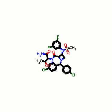 CC(O)C(NC(=O)C1C(N(c2cc(F)cc(F)c2)S(C)(=O)=O)CN1C(c1ccc(Cl)cc1)c1ccc(Cl)cc1)C(N)=O